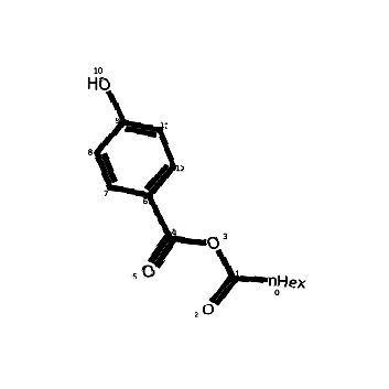 CCCCCCC(=O)OC(=O)c1ccc(O)cc1